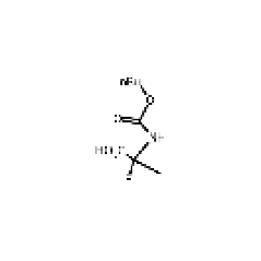 CCCCOC(=O)NC(C)(F)C(=O)O